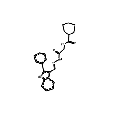 O=C(CNC(=O)C1CCCCC1)N/N=C/c1c(-c2ccccc2)[nH]c2ccccc12